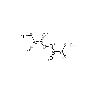 O=C(OOC(=O)C(F)CF)C(F)CF